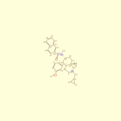 COc1cccc([C@@]23CCN(CC4CC4)C[C@H]2CC[C@@H](N(C)C(=O)c2ccc4ccccc4c2)C3)c1